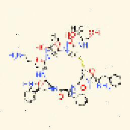 CC(O)C(CO)NC(=O)[C@@H]1CSSC[C@H](NC(=O)[C@H](N)Cc2ccccc2)C(=O)N[C@@H](Cc2ccccc2)C(=O)N[C@H](Cc2c[nH]c3ccccc23)C(=O)N[C@@H](CCCCN)C(=O)N[C@@H]([C@@H](C)O)C(=O)N1